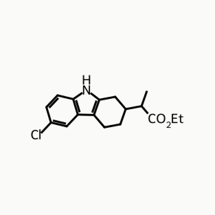 CCOC(=O)C(C)C1CCc2c([nH]c3ccc(Cl)cc23)C1